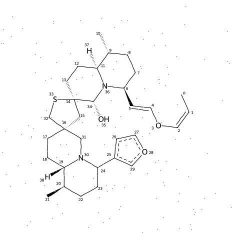 C/C=C\O/C=C/[C@@H]1CC[C@@H](C)[C@@H]2CC[C@@]3(C[C@]4(CC[C@H]5[C@H](C)CCC(c6ccoc6)N5C4)CS3)[C@@H](O)N12